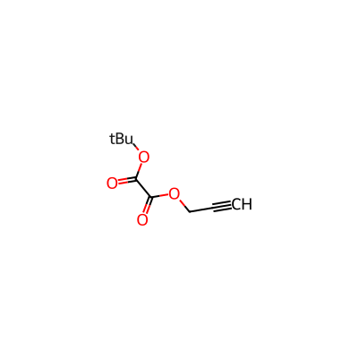 C#CCOC(=O)C(=O)OC(C)(C)C